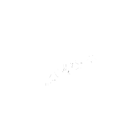 O=Cc1ccc2c(c1)CC(NC(=O)c1ccc(OCC3CCCO3)cn1)C2